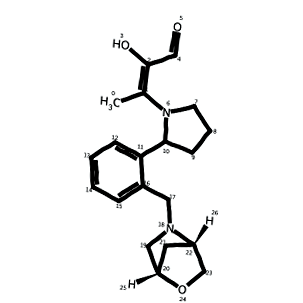 CC(=C(O)C=O)N1CCCC1c1ccccc1CN1C[C@@H]2C[C@H]1CO2